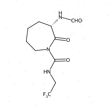 O=[C]N[C@H]1CCCCN(C(=O)NCC(F)(F)F)C1=O